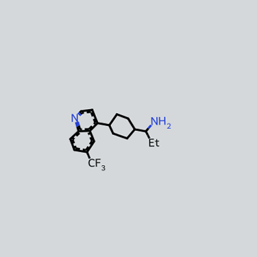 CCC(N)C1CCC(c2ccnc3ccc(C(F)(F)F)cc23)CC1